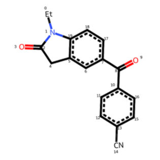 CCN1C(=O)Cc2cc(C(=O)c3ccc(C#N)cc3)ccc21